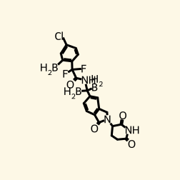 Bc1cc(Cl)ccc1C(F)(F)C(=O)NC(B)(B)c1ccc2c(c1)CN(C1CCC(=O)NC1=O)C2=O